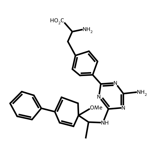 COC1(C(C)Nc2nc(N)nc(-c3ccc(CC(N)C(=O)O)cc3)n2)C=CC(c2ccccc2)=CC1